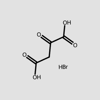 Br.O=C(O)CC(=O)C(=O)O